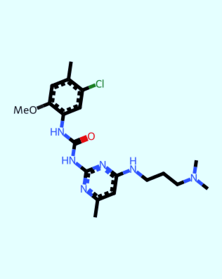 COc1cc(C)c(Cl)cc1NC(=O)Nc1nc(C)cc(NCCCN(C)C)n1